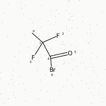 CC(F)(F)C(=O)Br